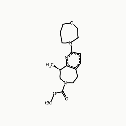 C[C@@H]1CN(C(=O)OC(C)(C)C)CCc2ccc(N3CCCOCC3)nc21